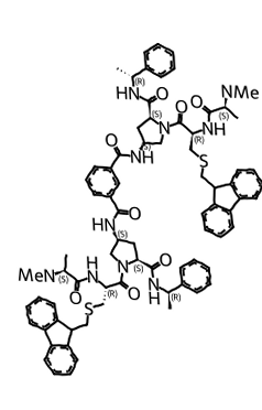 CN[C@@H](C)C(=O)N[C@@H](CSCC1c2ccccc2-c2ccccc21)C(=O)N1C[C@@H](NC(=O)c2cccc(C(=O)N[C@H]3C[C@@H](C(=O)N[C@H](C)c4ccccc4)N(C(=O)[C@H](CSCC4c5ccccc5-c5ccccc54)NC(=O)[C@H](C)NC)C3)c2)C[C@H]1C(=O)N[C@H](C)c1ccccc1